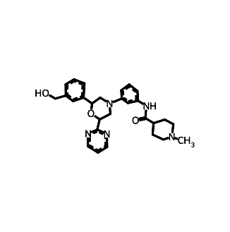 CN1CCC(C(=O)Nc2cccc(N3CC(c4cccc(CO)c4)OC(c4ncccn4)C3)c2)CC1